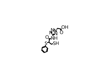 O=C(O)Cn1nnc(NC(=O)C(CS)Sc2ccccc2)n1